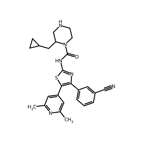 Cc1cc(-c2sc(NC(=O)N3CCNCC3CC3CC3)nc2-c2cccc(C#N)c2)cc(C)n1